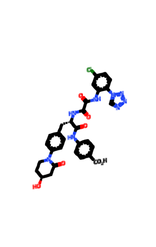 O=C(Nc1cc(Cl)ccc1-n1cnnn1)C(=O)N[C@@H](Cc1ccc(N2CC[C@H](O)CC2=O)cc1)C(=O)Nc1ccc(C(=O)O)cc1